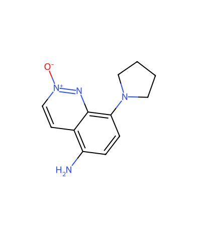 Nc1ccc(N2CCCC2)c2n[n+]([O-])ccc12